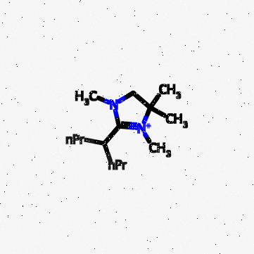 CCCC(CCC)C1=[N+](C)C(C)(C)CN1C